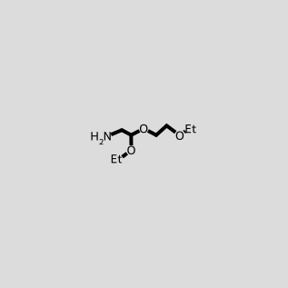 CCOCCOC(CN)OCC